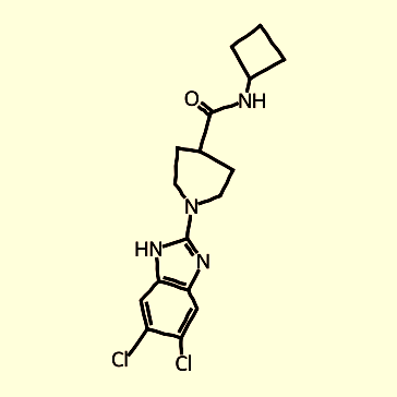 O=C(NC1CCC1)C1CCN(c2nc3cc(Cl)c(Cl)cc3[nH]2)CC1